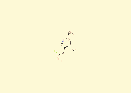 BC(F)Cc1cnc(C)cc1C(C)C